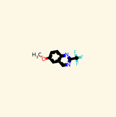 COc1ccc2nc(C(F)(F)F)ncc2c1